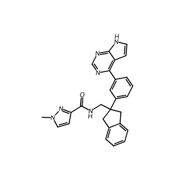 Cn1ccc(C(=O)NCC2(c3cccc(-c4ncnc5[nH]ccc45)c3)Cc3ccccc3C2)n1